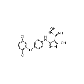 N=C(NO)c1c(O)nsc1Nc1ccc(Oc2cc(Cl)ccc2Cl)cc1